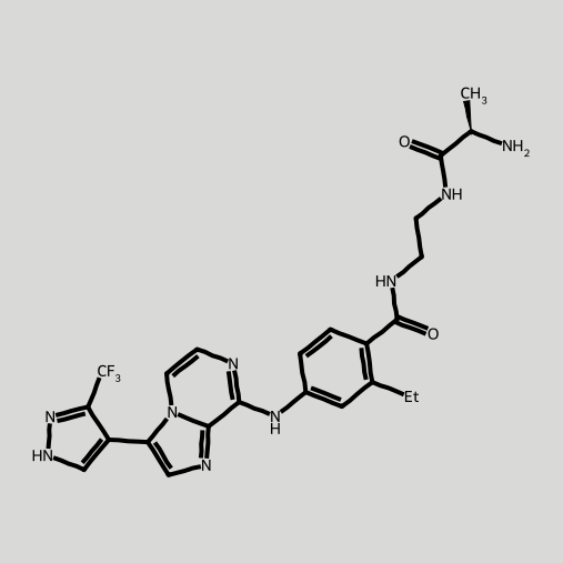 CCc1cc(Nc2nccn3c(-c4c[nH]nc4C(F)(F)F)cnc23)ccc1C(=O)NCCNC(=O)[C@@H](C)N